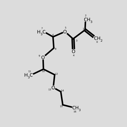 C=C(C)C(=O)OC(C)COC(C)COCCC